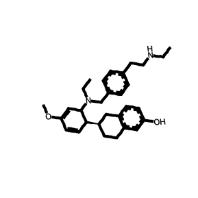 CCNCCc1ccc(CN(CC)C2C=C(OC)C=CC2[C@@H]2CCc3cc(O)ccc3C2)cc1